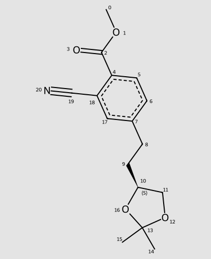 COC(=O)c1ccc(CC[C@H]2COC(C)(C)O2)cc1C#N